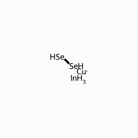 [Cu].[InH3].[SeH][SeH]